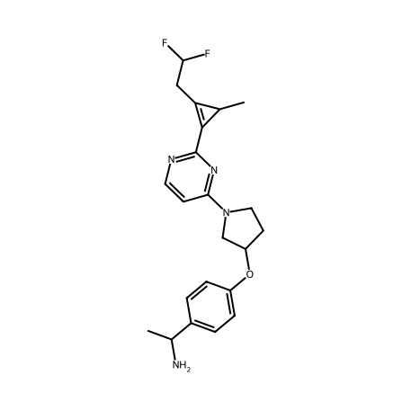 CC1C(CC(F)F)=C1c1nccc(N2CCC(Oc3ccc(C(C)N)cc3)C2)n1